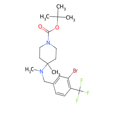 CN(Cc1ccc(C(F)(F)F)c(Br)c1)C1(C)CCN(C(=O)OC(C)(C)C)CC1